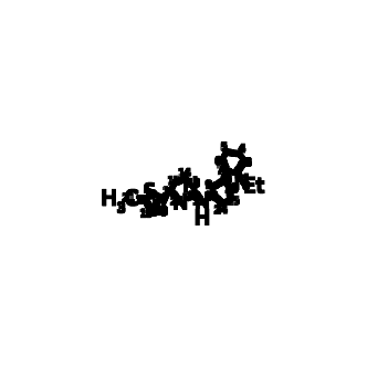 CCn1c2ccccc2c2cc(Nc3nccc(-c4ncc(C)s4)n3)ccc21